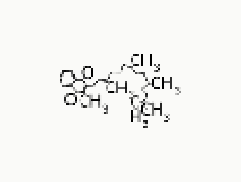 CC1=C(C/C=C(\C)CCCC(C)CCC(C)CCC(C)C)C(=O)c2ccccc2C1=O